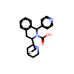 O=C(O)N1C(c2ccncc2)c2ccccc2CC1C1CC2CCN1CC2